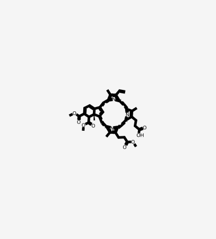 C=Cc1c(C)c2cc3cc(cc4[nH]c(cc5nc(cc1[nH]2)C(C)=C5CCC(=O)O)c(CCC(=O)OC)c4C)[C@@]1(C)C3=CC=C(C(=O)OC)C1C(=O)OC